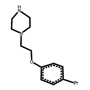 CC(C)c1ccc(OCCN2CCNCC2)cc1